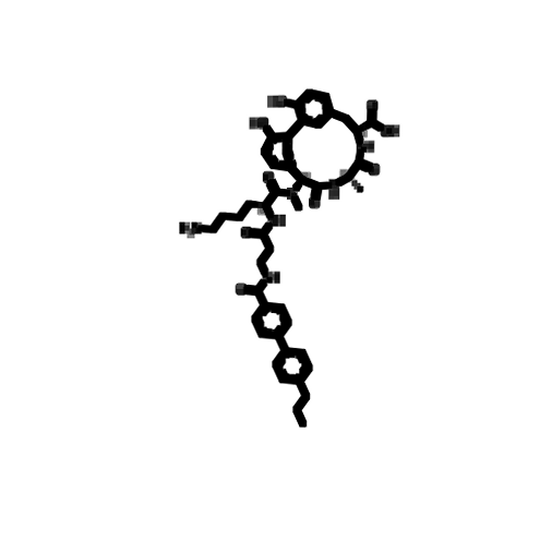 CCCc1ccc(-c2ccc(C(=O)NCCC(=O)N[C@@H](CCCCN)C(=O)N(C)[C@@H]3C(=O)N[C@@H](C)C(=O)N[C@H](C(=O)O)Cc4ccc(O)c(c4)-c4cc3ccc4O)cc2)cc1